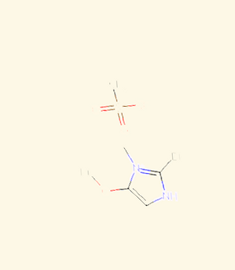 CCOc1c[nH]c(CC)[n+]1C.O=S(=O)([O-])C(F)(F)F